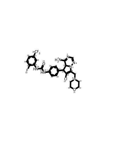 NC1=NC=NN2C(CN3CCOCC3)=C(Cl)C(c3ccc(NC(=O)Nc4cc(C(F)(F)F)ccc4F)cc3)C12